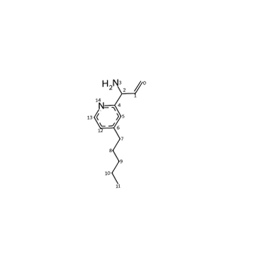 C=CC(N)c1cc(CCCCC)ccn1